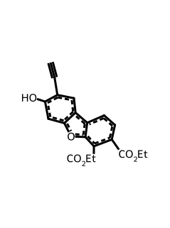 C#Cc1cc2c(cc1O)oc1c(C(=O)OCC)c(C(=O)OCC)ccc12